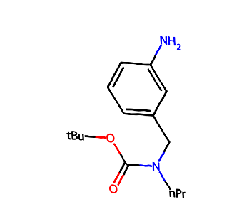 CCCN(Cc1cccc(N)c1)C(=O)OC(C)(C)C